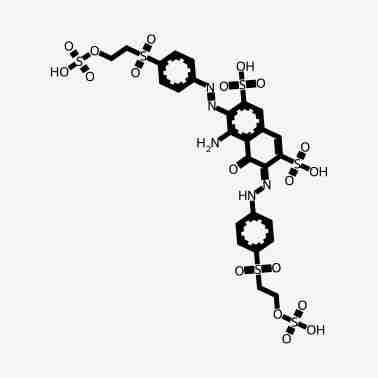 Nc1c(N=Nc2ccc(S(=O)(=O)CCOS(=O)(=O)O)cc2)c(S(=O)(=O)O)cc2c1C(=O)/C(=N\Nc1ccc(S(=O)(=O)CCOS(=O)(=O)O)cc1)C(S(=O)(=O)O)=C2